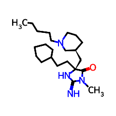 CCCCCN1CCC[C@@H](C[C@]2(CCC3CCCCC3)NC(=N)N(C)C2=O)C1